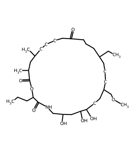 CCCC1OC(=O)C(C)CC(C)CCCCC(=O)CCCC(CC)CCCC(COC)CCC(O)C(O)CC(O)CNC1=O